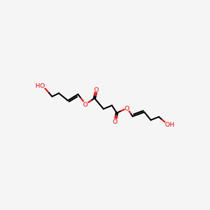 O=C(CCC(=O)OC=CCCO)OC=CCCO